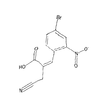 N#CCC(=Cc1ccc(Br)cc1[N+](=O)[O-])C(=O)O